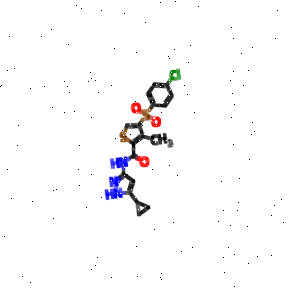 Cc1c(S(=O)(=O)c2ccc(Cl)cc2)csc1C(=O)Nc1cc(C2CC2)[nH]n1